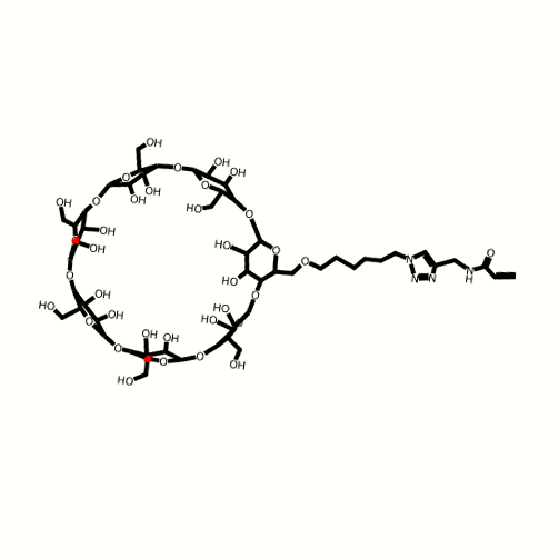 C=CC(=O)NCc1cn(CCCCCCOCC2OC3OC4C(CO)OC(OC5C(CO)OC(OC6C(CO)OC(OC7C(CO)OC(OC8C(CO)OC(OC9C(CO)OC(OC2C(O)C3O)C(O)C9O)C(O)C8O)C(O)C7O)C(O)C6O)C(O)C5O)C(O)C4O)nn1